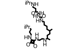 CC(C)CCCNc1c(NCCNC(C)CCC(C)CCCCNC(=O)NNC(=O)CCNC(C)C)c(=O)c1=O